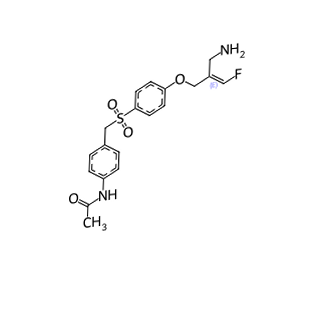 CC(=O)Nc1ccc(CS(=O)(=O)c2ccc(OC/C(=C/F)CN)cc2)cc1